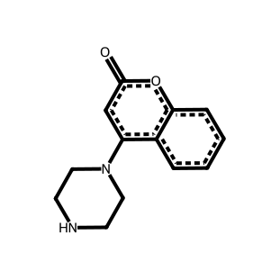 O=c1cc(N2CCNCC2)c2ccccc2o1